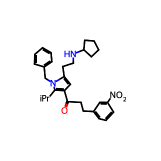 CC(C)c1c(C(=O)CCc2cccc([N+](=O)[O-])c2)cc(CCNC2CCCC2)n1Cc1ccccc1